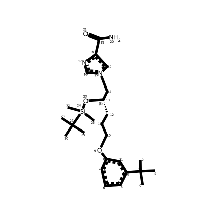 CC(C)(C)c1cccc(OCCC[C@@H](Cn2cnc(C(N)=O)c2)O[Si](C)(C)C(C)(C)C)c1